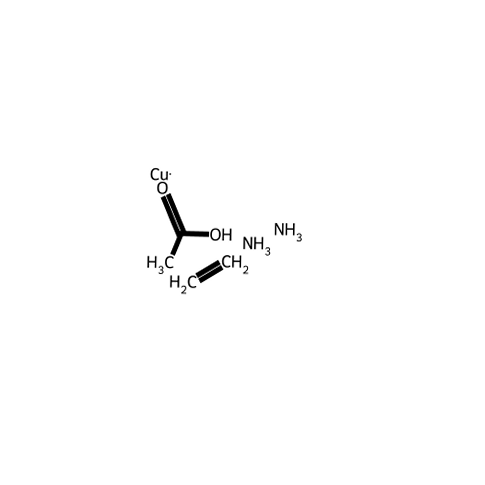 C=C.CC(=O)O.N.N.[Cu]